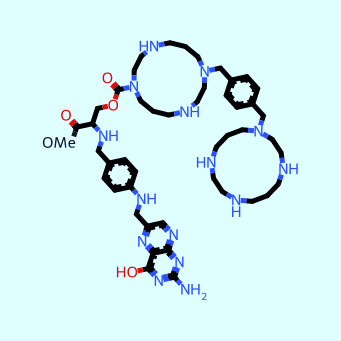 COC(=O)C(COC(=O)N1CCCNCCN(Cc2ccc(CN3CCCNCCNCCCNCC3)cc2)CCCNCC1)NCc1ccc(NCc2cnc3nc(N)nc(O)c3n2)cc1